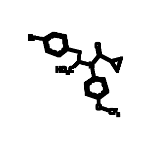 O=C(O)C(Cc1ccc(Br)cc1)N(C(=O)C1CC1)c1ccc(OC(F)(F)F)cc1